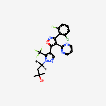 [2H]C([2H])(CC(C)(C)O)n1ncc(-c2onc(-c3c(F)cccc3Cl)c2-c2ncccn2)c1C(F)(F)F